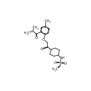 C=CS(=O)(=O)NC1CCN(C(=O)COc2ccc(C)cc2C(=O)N(C)C)CC1